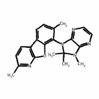 Cc1ccc2c(n1)oc1c(N3c4nccnc4N(C)C3(C)C)c(C)ccc12